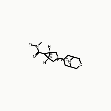 CCOC(=O)N1C2COCC1CC(N1C[C@@H]3C(C(=O)N(C)CC)[C@@H]3C1)C2